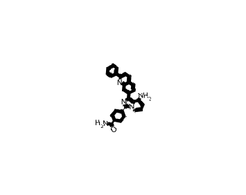 Nc1cccn2c1c(-c1ccc3ccc(-c4ccccc4)nc3c1)nc2[C@H]1CC[C@H](C(N)=O)CC1